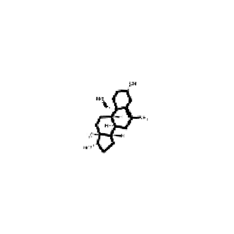 CC1=C2C[C@@H](O)CC[C@]2(CO)[C@H]2CC[C@]3(C)[C@@H](O)CC[C@H]3[C@@H]2C1